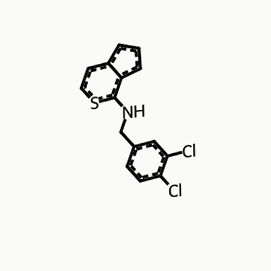 Clc1ccc(CNc2sccc3cccc2-3)cc1Cl